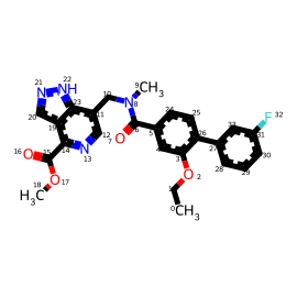 CCOc1cc(C(=O)N(C)Cc2cnc(C(=O)OC)c3cn[nH]c23)ccc1-c1cccc(F)c1